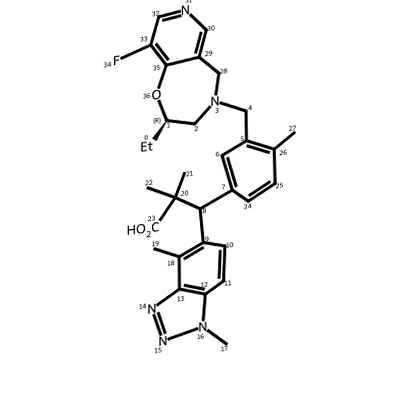 CC[C@@H]1CN(Cc2cc(C(c3ccc4c(nnn4C)c3C)C(C)(C)C(=O)O)ccc2C)Cc2cncc(F)c2O1